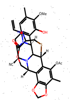 C=CCN1C2Cc3cc(C)c(OC)c(O)c3[C@H]1C1[C@@H]3SCC(N)C(=O)OC[C@@H](c4c5c(c(C)c(OC(C)=O)c43)OCO5)N1[C@H]2C#N